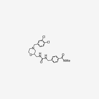 CNC(=O)c1ccc(CNC(=O)NCC2CN(Cc3ccc(Cl)c(Cl)c3)CCO2)cc1